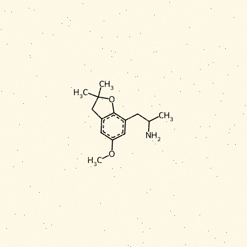 COc1cc(CC(C)N)c2c(c1)CC(C)(C)O2